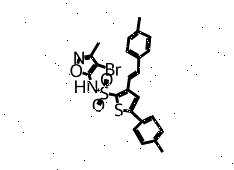 Cc1ccc(C=Cc2cc(-c3ccc(C)cc3)sc2S(=O)(=O)Nc2onc(C)c2Br)cc1